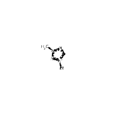 CC[n+]1cnn(C)n1